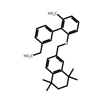 CC1(C)CCC(C)(C)c2cc(COc3cccc(C(=O)O)c3-c3cccc(CC(=O)O)c3)ccc21